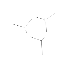 CB1OB(C)OC(C)O1